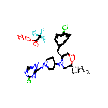 C[C@H]1CN(C2CCN(c3ncnc(Cl)n3)CC2)[C@@H](Cc2ccc(Cl)cc2)CO1.O=C(O)C(F)(F)F